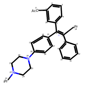 CC(=O)Oc1cccc(/C(=C(/c2ccccc2)C(C)C)c2ccc(N3CCN(C(C)C)CC3)cc2)c1